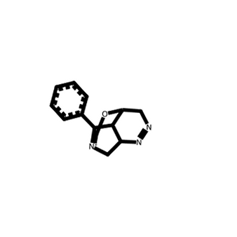 c1ccc(C2=[N+]3CC4N=NCC(O3)C24)cc1